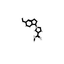 CCC1C=C2CCC(N3CCC(C(=O)OC)C3)C2CC1